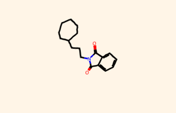 O=C1c2ccccc2C(=O)N1CCCC1CCCCCC1